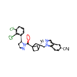 N#Cc1ccc2c(cnn2C[C@@H]2CC3(C(=O)N4N=CCC4c4cccc(Cl)c4Cl)CC2C3)c1